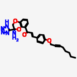 CCCCCC#CCOc1ccc(C=CC(=O)c2cccc3c2OC(N)(c2nnn[nH]2)CO3)cc1